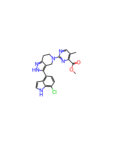 COC(=O)c1nc(N2CCc3n[nH]c(-c4ccc(Cl)c5[nH]ccc45)c3C2)ncc1C